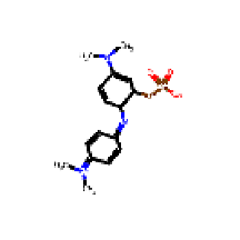 CN(C)C1=CC(SS(=O)(=O)O)C(N=C2C=CC(=[N+](C)C)C=C2)C=C1